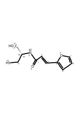 O=C(C=Cc1ccco1)N[C@H](CS)C(=O)O